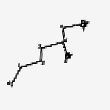 [CH2]CCCC(Br)CBr